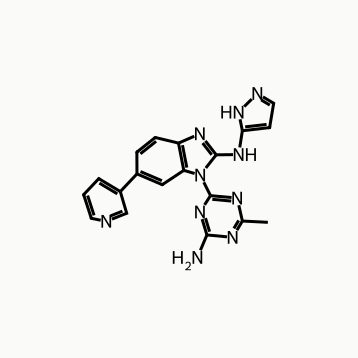 Cc1nc(N)nc(-n2c(Nc3ccn[nH]3)nc3ccc(-c4cccnc4)cc32)n1